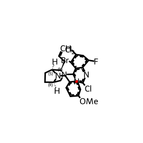 C=CC[C@@H]1[C@@H]2CC[C@H](CN1c1nc(Cl)nc3c(F)cc(Cl)c(Br)c13)N2Cc1ccc(OC)cc1